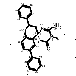 CN1C(=O)C[C@]2(CC(c3ccccc3)Oc3ccc(-c4ccccc4)cc32)N=C1N